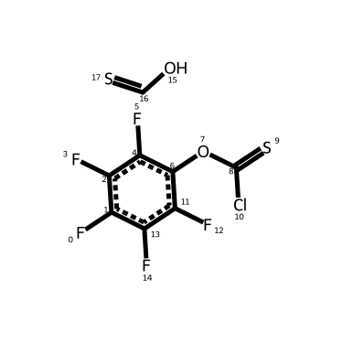 Fc1c(F)c(F)c(OC(=S)Cl)c(F)c1F.OC=S